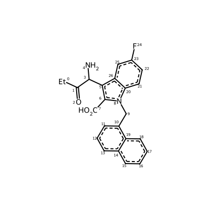 CCC(=O)C(N)c1c(C(=O)O)n(Cc2cccc3ccccc23)c2ccc(F)cc12